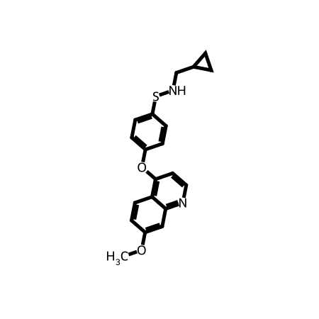 COc1ccc2c(Oc3ccc(SNCC4CC4)cc3)ccnc2c1